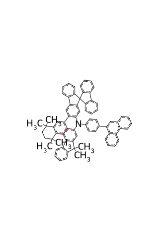 CC1(C)CCC(C)(C)c2cc(-c3cc4c(cc3N(c3ccc(-c5cc6ccccc6c6ccccc56)cc3)c3ccc5c(c3)C(C)(C)c3ccccc3-5)C3(c5ccccc5-c5ccccc53)c3ccccc3-4)ccc21